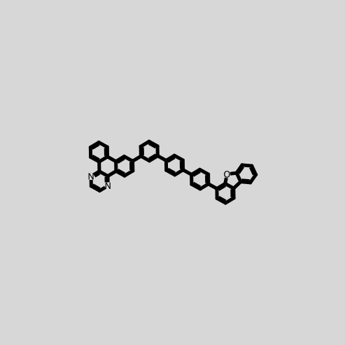 c1cc(-c2ccc(-c3ccc(-c4cccc5c4oc4ccccc45)cc3)cc2)cc(-c2ccc3c(c2)c2ccccc2c2nccnc32)c1